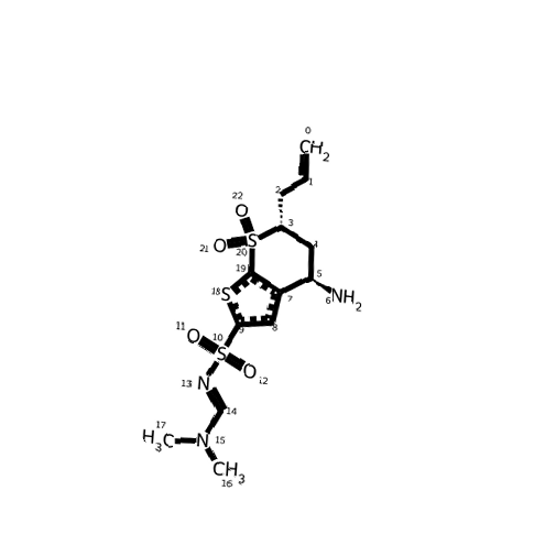 C=CC[C@@H]1C[C@@H](N)c2cc(S(=O)(=O)N=CN(C)C)sc2S1(=O)=O